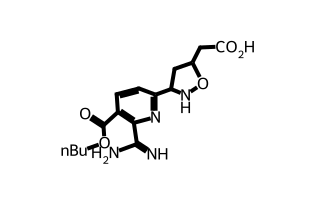 CCCCOC(=O)c1ccc(C2CC(CC(=O)O)ON2)nc1C(=N)N